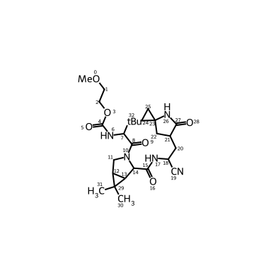 COCCOC(=O)NC(C(=O)N1CC2C(C1C(=O)NC(C#N)CC1CC3(CC3)NC1=O)C2(C)C)C(C)(C)C